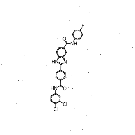 O=C(Nc1ccc(Cl)c(Cl)c1)c1ccc(-c2nc3cc(C(=O)Nc4ccc(F)cc4)ccc3[nH]2)cc1